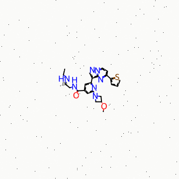 CCN[C@@H](C)CNC(=O)c1cc(-c2cnn3ccc(-c4cccs4)nc23)nc(N2CC(OC)C2)c1